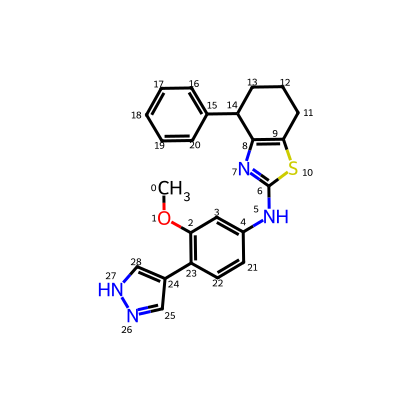 COc1cc(Nc2nc3c(s2)CCCC3c2ccccc2)ccc1-c1cn[nH]c1